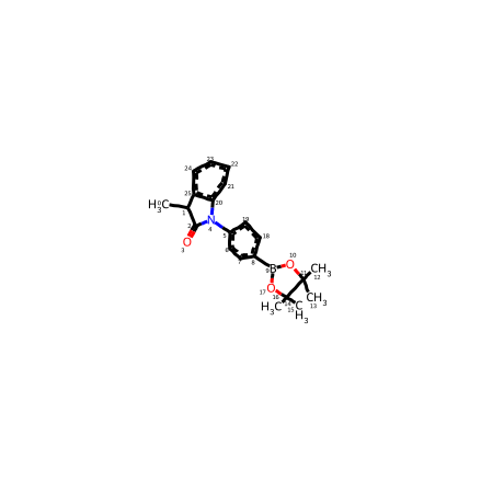 CC1C(=O)N(c2ccc(B3OC(C)(C)C(C)(C)O3)cc2)c2ccccc21